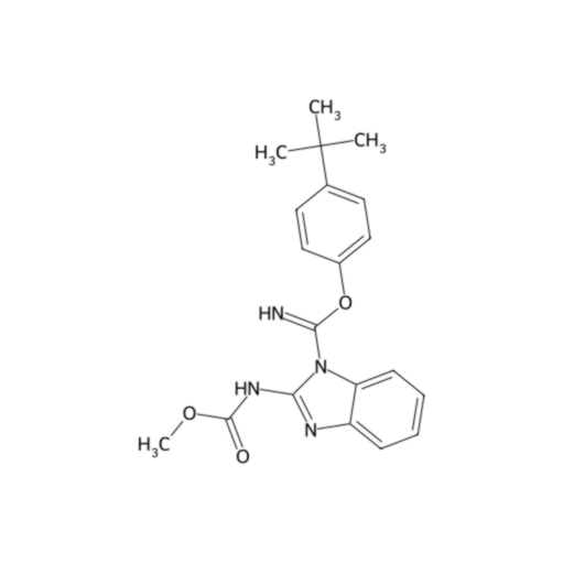 COC(=O)Nc1nc2ccccc2n1C(=N)Oc1ccc(C(C)(C)C)cc1